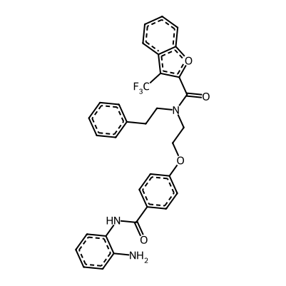 Nc1ccccc1NC(=O)c1ccc(OCCN(CCc2ccccc2)C(=O)c2oc3ccccc3c2C(F)(F)F)cc1